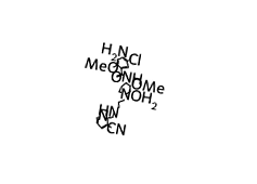 COc1cc(N)c(Cl)cc1C(=O)NC1CCN(CCCNCc2ncccc2C#N)CC1OC.O